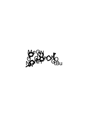 COc1ncc2c(N3CCC(N(C(=O)OC(C)(C)C)C4CC4)CC3)ccc(C(=O)Nc3cc(Oc4ccccc4)c4nc(C)cn4c3)c2n1